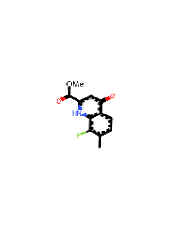 COC(=O)c1cc(=O)c2ccc(C)c(F)c2[nH]1